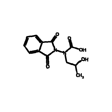 CC(O)CN(C(=O)O)N1C(=O)c2ccccc2C1=O